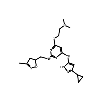 CC1=NOC(CNc2nc(Nc3cc(C4CC4)n[nH]3)cc(OCCN(C)C)n2)C1